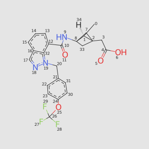 C[C@H]1C2(CC(=O)O)CC1(NC(=O)c1cccc3cnn(Cc4ccc(OC(F)(F)F)cc4)c13)C2